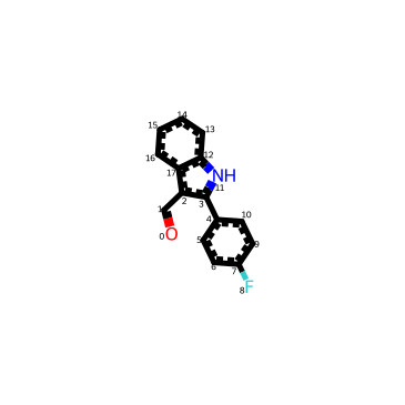 O=Cc1c(-c2ccc(F)cc2)[nH]c2ccccc12